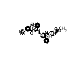 COC(=O)CN1CCN(C(=O)NC2(c3ccccc3)CCN(CC[C@H](CN(C)C(=O)c3cc(-n4cnnn4)ccc3OC)c3ccccc3)CC2)CC1